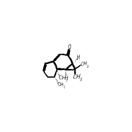 C[C@@H]1CC=CC2=CC(=O)[C@@H]3[C@@H](C3(C)C)[C@]21C